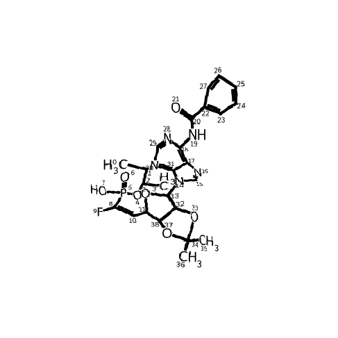 CCC(C)OP(=O)(O)C(F)=CC1OC(n2cnc3c(NC(=O)c4ccccc4)ncnc32)C2OC(C)(C)OC12